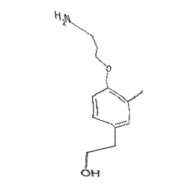 Cc1cc(CCO)ccc1OCCN